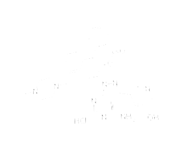 CC(c1oc(=O)c2ccccc2c1-c1cccc(CN2CCN(C)CC2)c1)n1nc(-c2cncc(O)c2)c2c(N)ncnc21.Cl